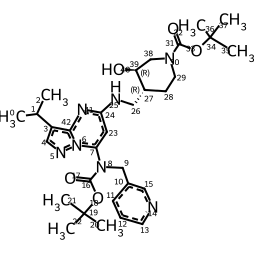 CC(C)c1cnn2c(N(Cc3cccnc3)C(=O)OC(C)(C)C)cc(NC[C@H]3CCN(C(=O)OC(C)(C)C)C[C@@H]3O)nc12